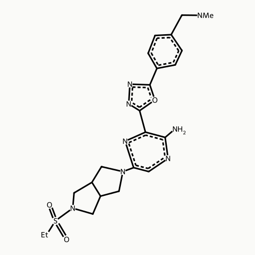 CCS(=O)(=O)N1CC2CN(c3cnc(N)c(-c4nnc(-c5ccc(CNC)cc5)o4)n3)CC2C1